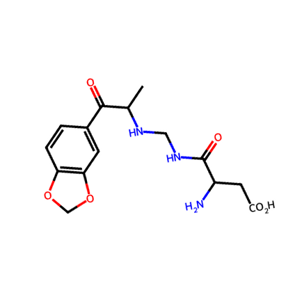 CC(NCNC(=O)C(N)CC(=O)O)C(=O)c1ccc2c(c1)OCO2